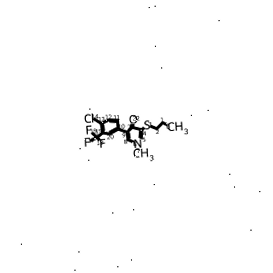 CCCSc1cn(C)cc(-c2ccc(Cl)c(C(F)(F)F)c2)c1=O